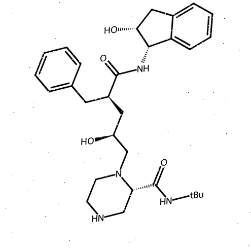 CC(C)(C)NC(=O)[C@@H]1CNCCN1C[C@@H](O)C[C@@H](Cc1ccccc1)C(=O)N[C@H]1c2ccccc2C[C@H]1O